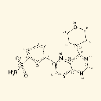 NS(=O)(=O)c1cccc(-c2ccc3ncnc(N4CCOCC4)c3n2)c1